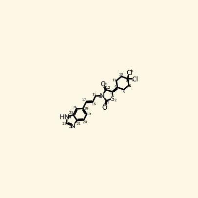 O=C1SC(=C2CCC(Cl)(Cl)CC2)C(=O)N1CC=Cc1ccc2nc[nH]c2c1